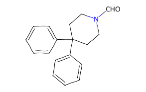 O=CN1CCC(c2ccccc2)(c2ccccc2)CC1